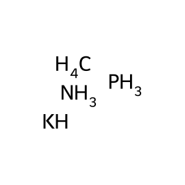 C.N.P.[KH]